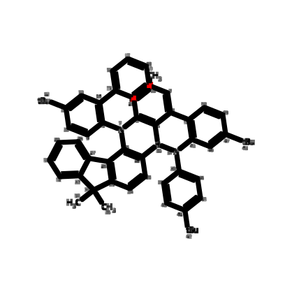 Cc1cc2c3c(c1)N(c1ccc(C(C)(C)C)cc1-c1ccccc1)c1c(ccc4c1-c1ccccc1C4(C)C)B3N(c1ccc(C(C)(C)C)cc1)c1cc(C(C)(C)C)ccc1-2